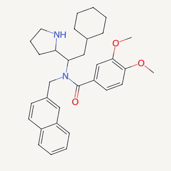 COc1ccc(C(=O)N(Cc2ccc3ccccc3c2)C(CC2CCCCC2)C2CCCN2)cc1OC